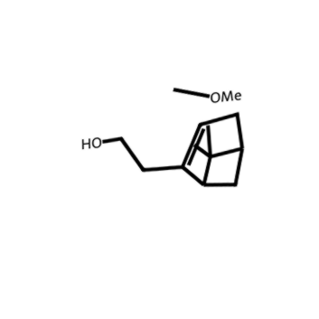 CC1(C)C2CC=C(CCO)C1C2.COC